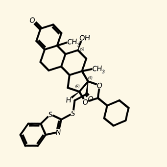 CC12C=CC(=O)C=C1CCC1C2[C@@H](O)CC2(C)C1C[C@H]1OC(C3CCCCC3)O[C@]12C(=O)CSc1nc2ccccc2s1